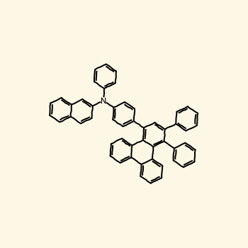 c1ccc(-c2cc(-c3ccc(N(c4ccccc4)c4ccc5ccccc5c4)cc3)c3c4ccccc4c4ccccc4c3c2-c2ccccc2)cc1